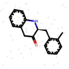 Cc1ccccc1C[C@@H]1Nc2ccccc2CC1=O